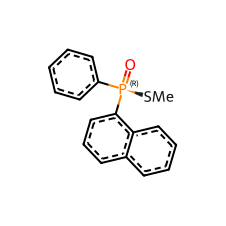 CS[P@](=O)(c1ccccc1)c1cccc2ccccc12